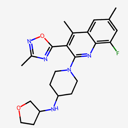 Cc1cc(F)c2nc(N3CCC(NC4CCOC4)CC3)c(-c3nc(C)no3)c(C)c2c1